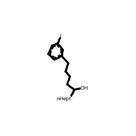 CCCCCCCC(O)CCCCc1cccc(I)c1